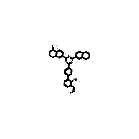 CC/C=C\c1cccc(-c2ccc(-c3nc(-c4ccc5c(c4)CCC=C5)nc(-c4ccc5c(c4)CCCC5C)n3)cc2)c1N